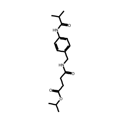 CC(C)OC(=O)CCC(=O)NCc1ccc(NC(=O)C(C)C)cc1